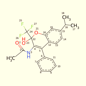 CC(=O)NC1=C(c2ccccc2)c2ccc(C(C)C)cc2OC1(O)C(F)(F)F